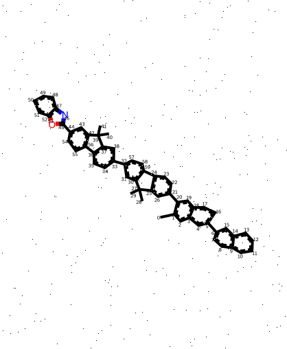 Cc1cc2cc(-c3ccc4ccccc4c3)ccc2cc1-c1ccc2c(c1)C(C)(C)c1cc(-c3ccc4c(c3)C(C)(C)c3cc(-c5nc6ccccc6o5)ccc3-4)ccc1-2